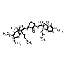 COCCN1/C(=C\C=C2/CCCC(/C=C/C3=[N+](CCOC)c4ccc(OC)cc4C3(C)C)=C2Cl)C(C)(C)c2cc(OC)c(OC)cc21